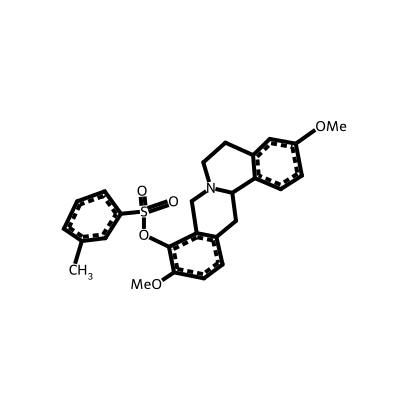 COc1ccc2c(c1)CCN1Cc3c(ccc(OC)c3OS(=O)(=O)c3cccc(C)c3)CC21